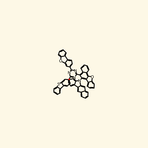 c1ccc2cc3c(cc2c1)c1ccccc1n3-c1c(-c2nc(-c3ccc4c(c3)oc3ccccc34)nc(-c3ccc4c(c3)sc3ccccc34)n2)c2ccccc2c2oc3ccccc3c12